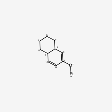 CCOC1=CC2CCCCC2C=C1